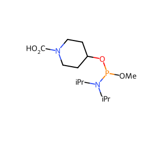 COP(OC1CCN(C(=O)O)CC1)N(C(C)C)C(C)C